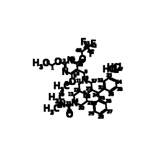 CCOc1nc(OC)c(CN2CC3CN(C(=O)N(C)C)CCN3C(C(c3ccccc3)c3ccccc3)C2)c(OCC(F)(F)F)n1.Cl.Cl